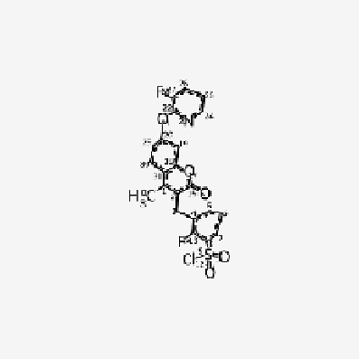 Cc1c(Cc2cccc(S(=O)(=O)Cl)c2F)c(=O)oc2cc(Oc3ncccc3F)ccc12